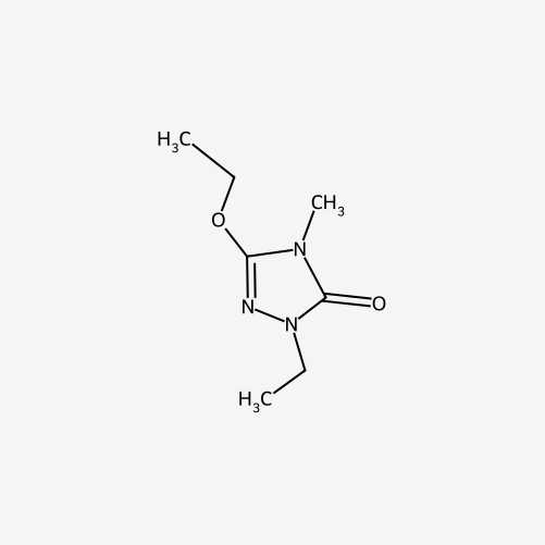 CCOc1nn(CC)c(=O)n1C